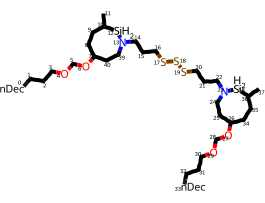 CCCCCCCCCCCCCOCOC1CCC(C)[SiH2]N(CCCSSSCCCN2CCC(OCOCCCCCCCCCCCCC)CCC(C)[SiH2]2)CC1